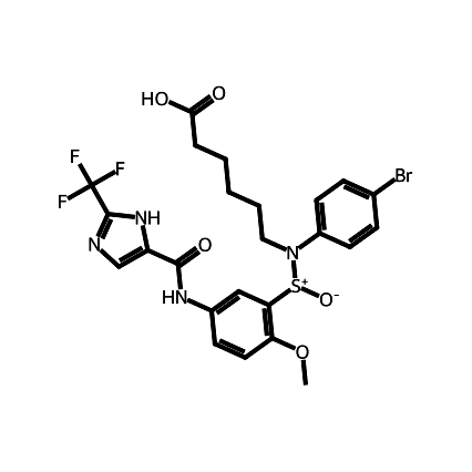 COc1ccc(NC(=O)c2cnc(C(F)(F)F)[nH]2)cc1[S+]([O-])N(CCCCCC(=O)O)c1ccc(Br)cc1